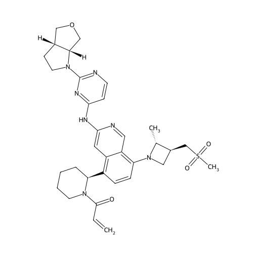 C=CC(=O)N1CCCC[C@H]1c1ccc(N2C[C@H](CS(C)(=O)=O)[C@H]2C)c2cnc(Nc3ccnc(N4CC[C@@H]5COC[C@@H]54)n3)cc12